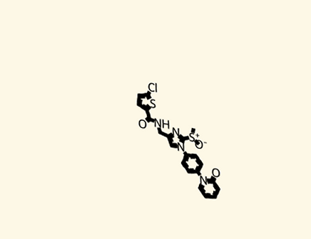 C[S+]([O-])c1nc(CNC(=O)c2ccc(Cl)s2)cn1-c1ccc(-n2ccccc2=O)cc1